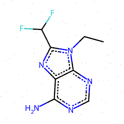 CCn1c(C(F)F)nc2c(N)ncnc21